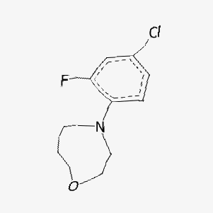 Fc1cc(Cl)ccc1N1CCOCC1